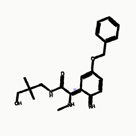 CN/C(C(=O)NCC(C)(C)CO)=C1/C=C(OCc2ccccc2)C=CC1=N